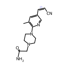 Cc1cc(/C=C\C#N)cnc1N1CCN(CC(N)=O)CC1